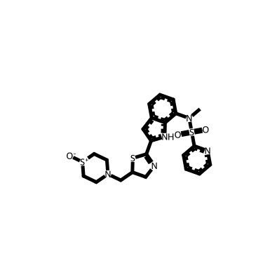 CN(c1cccc2cc(C3=NCC(CN4CC[S+]([O-])CC4)S3)[nH]c12)S(=O)(=O)c1ccccn1